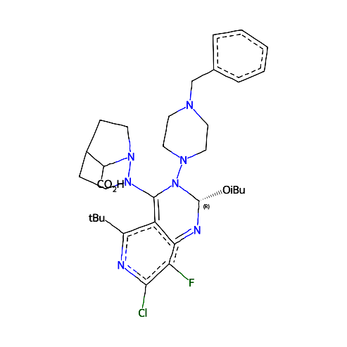 CC(C)CO[C@@H]1N=c2c(F)c(Cl)nc(C(C)(C)C)c2=C(N2CCC3CCN2C3C(=O)O)N1N1CCN(Cc2ccccc2)CC1